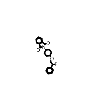 O=C1c2ccccc2C(=O)N1[C@H]1CC[C@H](OCC(F)c2ccccc2)CC1